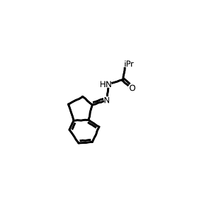 CC(C)C(=O)N/N=C1\CCc2ccccc21